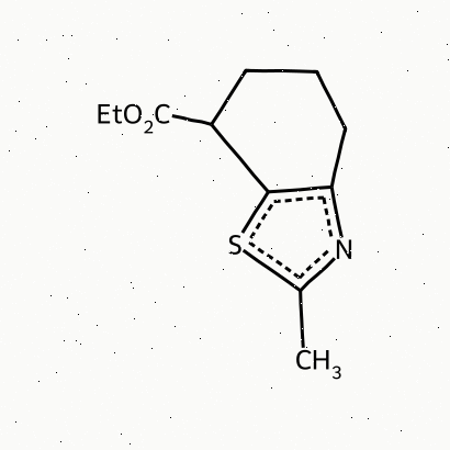 CCOC(=O)C1CCCc2nc(C)sc21